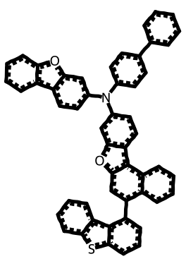 c1ccc(-c2ccc(N(c3ccc4c(c3)oc3ccccc34)c3ccc4c(c3)oc3cc(-c5cccc6sc7ccccc7c56)c5ccccc5c34)cc2)cc1